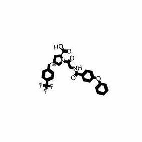 O=C(NCC(=O)N1C[C@H](Cc2ccc(C(F)(F)F)cc2)C[C@H]1C(=O)O)c1ccc(Oc2ccccc2)cc1